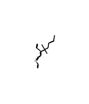 C=C/N=C\C=C(/C=C)C(C)(C)CCCC